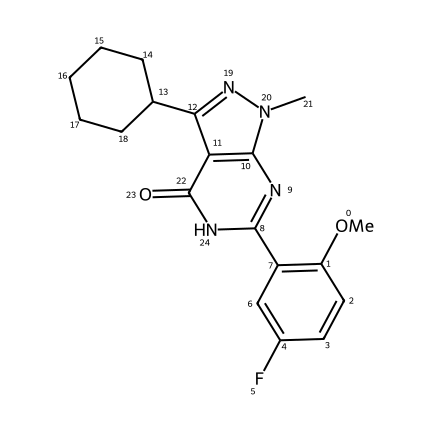 COc1ccc(F)cc1-c1nc2c(c(C3CCCCC3)nn2C)c(=O)[nH]1